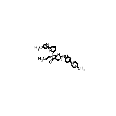 C=CCn1c(=O)c2cnc(Nc3ccc(N4CCN(C)CC4)cc3)nc2n1-c1cccc(-n2cc(C)cn2)n1